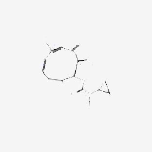 C=C1/C=C(F)\C=C/CCC(NC(=O)N(CCC)C2CC2)C1O